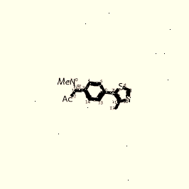 CN[C@@H](C(C)=O)c1ccc(-c2scnc2C)cc1